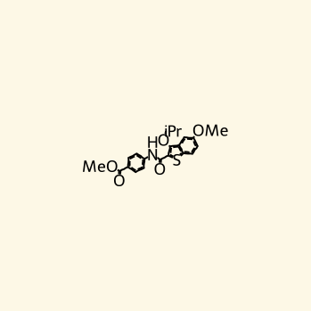 COC(=O)c1ccc(NC(=O)c2sc3ccc(OC)cc3c2OC(C)C)cc1